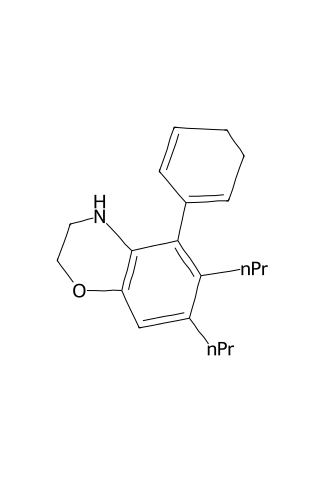 CCCc1cc2c(c(C3=CCCC=C3)c1CCC)NCCO2